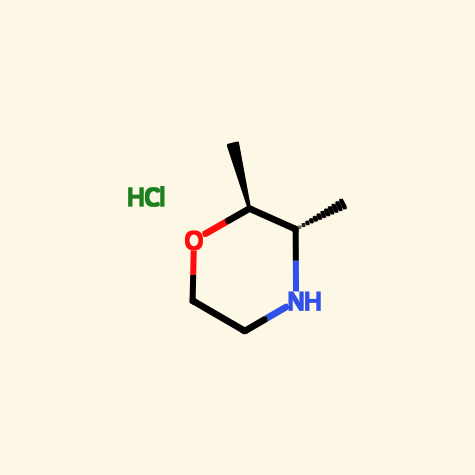 C[C@@H]1NCCO[C@H]1C.Cl